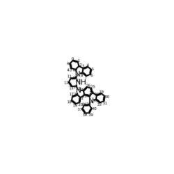 C1=CC2c3ccccc3N(C3=CC=CC(n4c5ccccc5c5c6c(ccc54)c4ccccc4n6-c4ccccc4)N3)C2C=C1